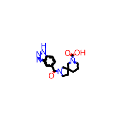 O=C(O)N1CCCC2(CCN(C(=O)c3ccc4[nH]nnc4c3)C2)C1